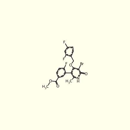 COC(=O)c1ccc(F)c(-c2c(C)[nH]c(=O)c(Br)c2OCc2ccc(F)cc2F)c1